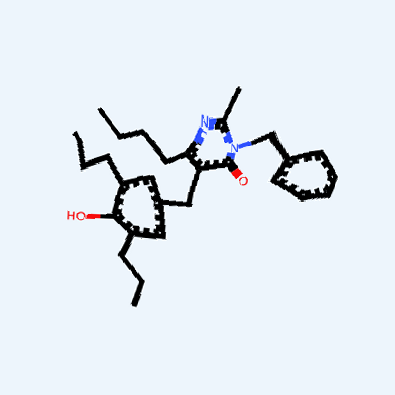 CCCCc1nc(C)n(Cc2ccccc2)c(=O)c1Cc1cc(CCC)c(O)c(CCC)c1